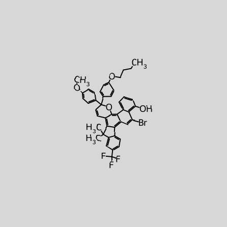 CCCCOc1ccc(C2(c3ccc(OC)cc3)C=Cc3c4c(c5cc(Br)c6c(O)cccc6c5c3O2)-c2ccc(C(F)(F)F)cc2C4(C)C)cc1